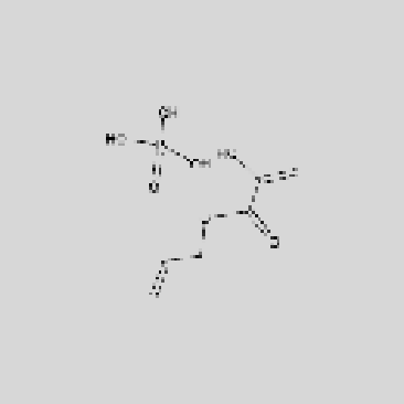 C=CCOC(=O)C(=C)O.O=P(O)(O)O